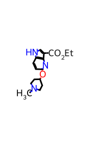 CCOC(=O)c1c[nH]c2ccc(OC3CCN(C)CC3)nc12